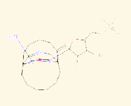 C=C1CCCCC23/C=N\CC1(CCCCCC2)N(C1OC(COP(=O)(O)O)C(O)C1O)/C=N\C/C(N)=N\3